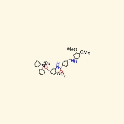 COc1ccc(NCc2ccc(C(=O)Nc3cc(CO[Si](c4ccccc4)(c4ccccc4)C(C)(C)C)ccc3[N+](=O)[O-])cc2)cc1OC